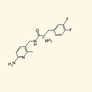 Cc1nc(N)ccc1CNC(=O)[C@@H](N)Cc1ccc(F)c(F)c1